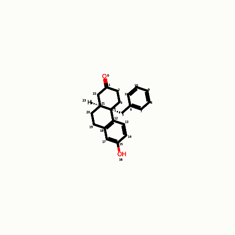 O=C1CC[C@@]2(Cc3ccccc3)c3ccc(O)cc3CC[C@H]2C1